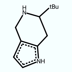 CC(C)(C)C1Cc2[nH]ccc2CN1